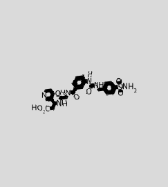 NS(=O)(=O)c1ccc(CNC(=O)Nc2cccc(C(=O)NCC(=O)NC(CC(=O)O)c3cccnc3)c2)cc1